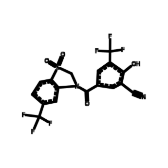 N#Cc1cc(C(=O)N2CS(=O)(=O)c3ccc(C(F)(F)F)cc32)cc(C(F)(F)F)c1O